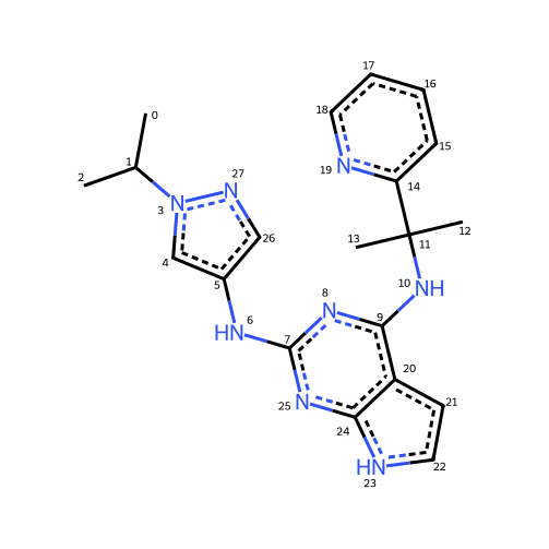 CC(C)n1cc(Nc2nc(NC(C)(C)c3ccccn3)c3cc[nH]c3n2)cn1